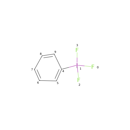 F[I](F)(F)c1ccccc1